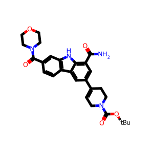 CC(C)(C)OC(=O)N1CC=C(c2cc(C(N)=O)c3[nH]c4cc(C(=O)N5CCOCC5)ccc4c3c2)CC1